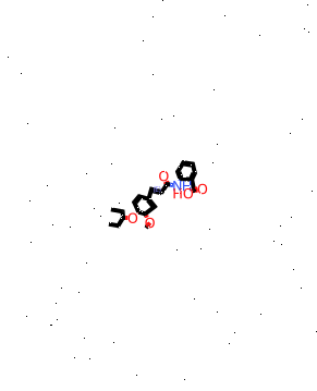 CCC(CC)OC1C=CC(/C=C/C(=O)Nc2ccccc2C(=O)O)=CC1OC